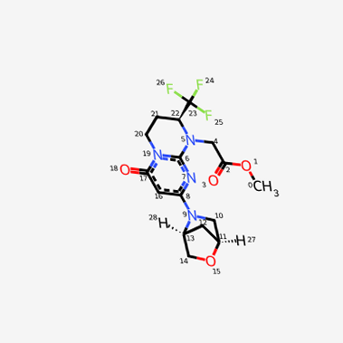 COC(=O)CN1c2nc(N3C[C@@H]4C[C@H]3CO4)cc(=O)n2CC[C@H]1C(F)(F)F